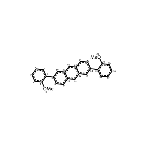 COc1ccccc1-c1ccc2cc3cc(-c4ccccc4OC)ccc3cc2c1